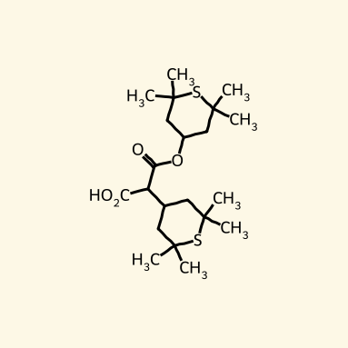 CC1(C)CC(OC(=O)C(C(=O)O)C2CC(C)(C)SC(C)(C)C2)CC(C)(C)S1